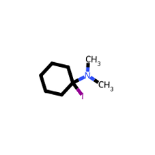 CN(C)C1(I)CCCCC1